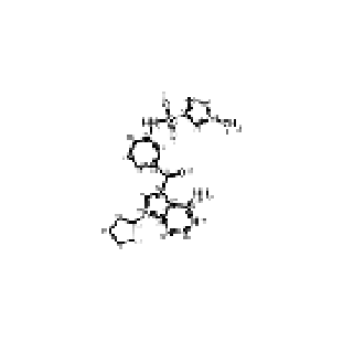 Cn1cnc(S(=O)(=O)Nc2cccc(C(=O)c3cn(C4CCCC4)c4ncnc(N)c34)c2)c1